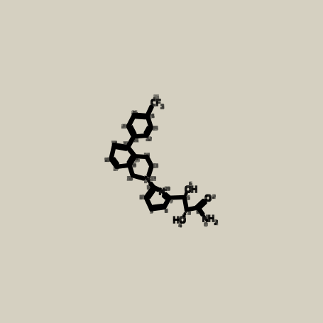 NC(=O)[C@H](O)[C@@H](O)c1cccc(N2CCc3c(cccc3-c3ccc(C(F)(F)F)cc3)C2)n1